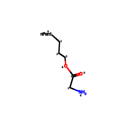 CCCCCCCCOC(=O)CN